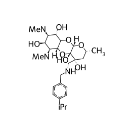 CN[C@@H]1[C@H](O)[C@H](NC)[C@H]2O[C@]3(O)[C@H](OC2[C@H]1O)O[C@H](C)C[C@@]3(O)CNCc1ccc(C(C)C)cc1